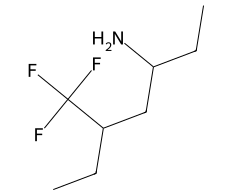 CCC(N)CC(CC)C(F)(F)F